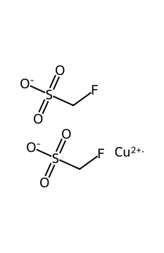 O=S(=O)([O-])CF.O=S(=O)([O-])CF.[Cu+2]